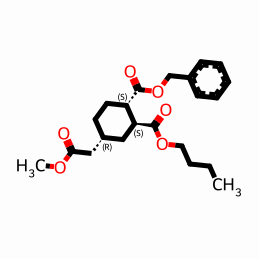 CCCCOC(=O)[C@H]1C[C@H](CC(=O)OC)CC[C@@H]1C(=O)OCc1ccccc1